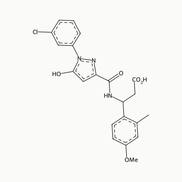 COc1ccc(C(CC(=O)O)NC(=O)c2cc(O)n(-c3cccc(Cl)c3)n2)c(C)c1